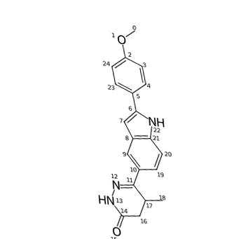 COc1ccc(-c2cc3cc(C4=NNC(=O)CC4C)ccc3[nH]2)cc1